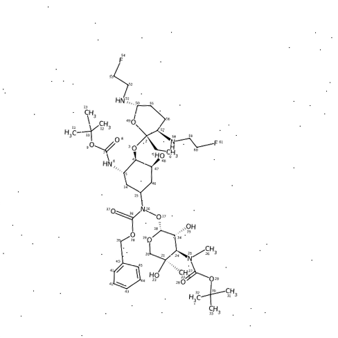 CC[C@@]1(O[C@@H]2[C@@H](NC(=O)OC(C)(C)C)CC(N(O[C@H]3OC[C@](C)(O)[C@H](N(C)C(=O)OC(C)(C)C)[C@H]3O)C(=O)OCc3ccccc3)C[C@@H]2O)O[C@H](NCCF)CC[C@H]1NCCF